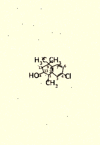 CC1c2cc(Cl)ccc2C(C)(C)CC1O